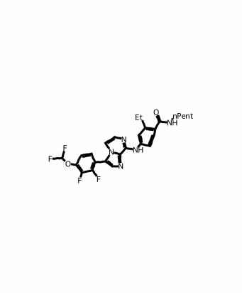 CCCCCNC(=O)c1ccc(Nc2nccn3c(-c4ccc(OC(F)F)c(F)c4F)cnc23)cc1CC